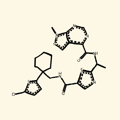 CC(NC(=O)c1ncnc2c1cnn2C)c1ncc(C(=O)NCC2(c3ccc(Cl)s3)CCCCC2)s1